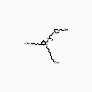 CCCCCCCCCCCCCCCCCCOc1cc(CCCCCCCCCCCCCCC)ccc1COC(=O)CCCN1CCN(CCO)CC1